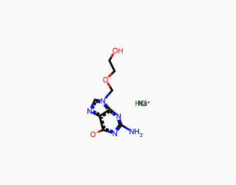 Cl.Nc1nc([O-])c2ncn(COCCO)c2n1.[Na+]